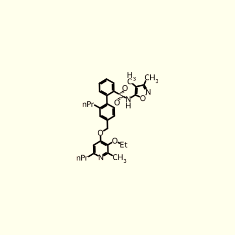 CCCc1cc(OCc2ccc(-c3ccccc3S(=O)(=O)Nc3onc(C)c3C)c(CCC)c2)c(OCC)c(C)n1